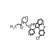 C=CC(=O)N1CCOCC1COc1cnccc1-c1[nH]c2cccnc2c1-c1cc(Cl)ccc1F